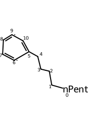 CCCCCCCCCc1[c]cc[c]c1